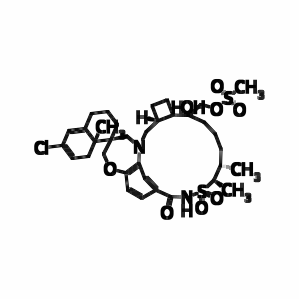 C[C@@H]1[C@@H](C)CCC[C@](O)(COS(C)(=O)=O)[C@@H]2CC[C@H]2CN2C[C@@]3(CCCC4=CC(Cl)=CCC43C)COc3ccc(cc32)C(=O)NS1(=O)=O